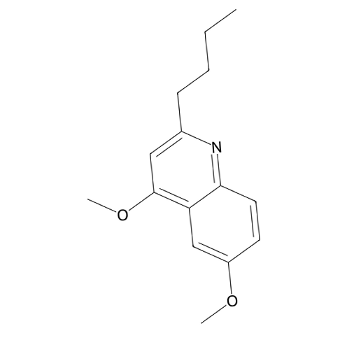 CCCCc1cc(OC)c2cc(OC)ccc2n1